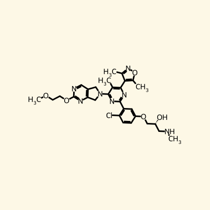 CNC[C@@H](O)COc1ccc(Cl)c(-c2nc(-c3c(C)noc3C)c(C)c(N3Cc4cnc(OCCOC)nc4C3)n2)c1